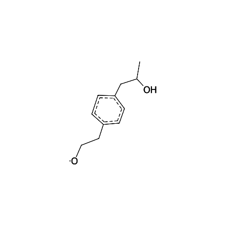 CC(O)Cc1ccc(CC[O])cc1